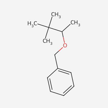 CC(OCc1ccccc1)C(C)(C)C